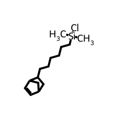 C[Si](C)(Cl)CCCCCCC1CC2C=CC1C2